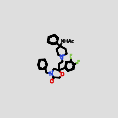 CC(=O)NC1(c2ccccc2)CCN(CCC2(c3ccc(F)c(F)c3)CN(Cc3ccccc3)C(=O)CO2)CC1